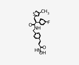 Cc1csc(C=C(C(=O)NCc2ccc(C=CC(=O)NO)cc2)c2ccc(F)cc2)c1